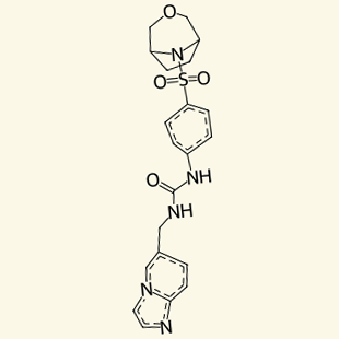 O=C(NCc1ccc2nccn2c1)Nc1ccc(S(=O)(=O)N2C3CCC2COC3)cc1